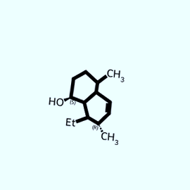 CCC1C2C(C=C[C@@H]1C)C(C)CC[C@@H]2O